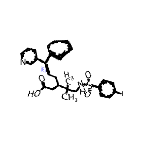 CC(C)(CNS(=O)(=O)c1ccc(I)cc1)C(C/C=C(\c1ccccc1)c1cccnc1)CC(=O)O